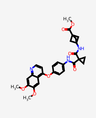 COC(=O)C12CC(NC(=O)C3(C(=O)Nc4ccc(Oc5ccnc6cc(OC)c(OC)cc56)cc4)CC3)(C1)C2